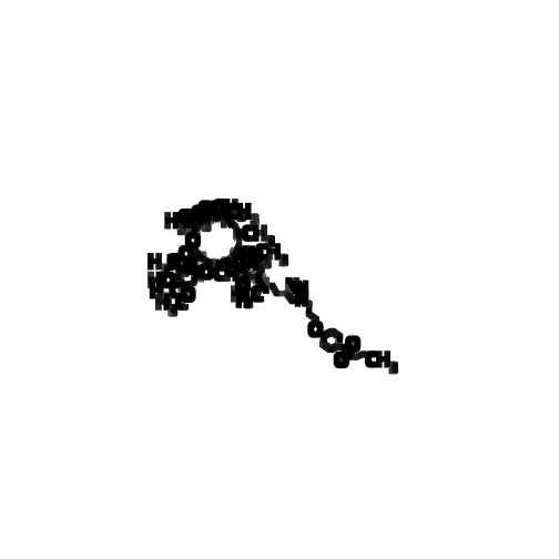 CCCS(=O)(=O)c1ccc(OCCCn2cc(CCN(C)[C@H]3C[C@@H](C)O[C@@H](O[C@@H]4[C@@H](C)[C@H](O[C@H]5C[C@@](C)(OC)[C@@H](O)[C@H](C)O5)[C@@H](C)C(=O)O[C@H](CC)[C@@](C)(O)[C@H](O)[C@@H](C)N(C)C[C@H](C)C[C@@]4(C)O)[C@@H]3O)nn2)cc1